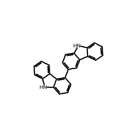 c1ccc2c(c1)[nH]c1ccc(-c3cccc4[nH]c5ccccc5c34)cc12